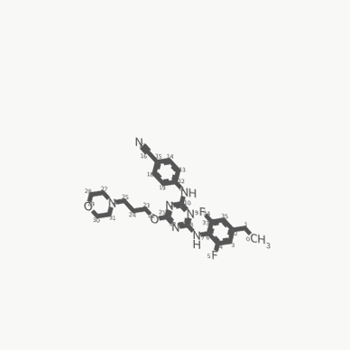 CCc1cc(F)c(Nc2nc(Nc3ccc(C#N)cc3)nc(OCCCN3CCOCC3)n2)c(F)c1